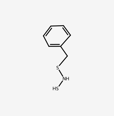 SNSCc1ccccc1